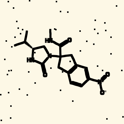 CNC(=O)C1(N2C[C@@H](C(C)C)NC2=O)Cc2ccc([N+](=O)[O-])cc2C1